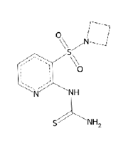 NC(=S)Nc1ncccc1S(=O)(=O)N1CCC1